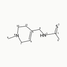 CC(=S)NCC1=CCN(C)CC1